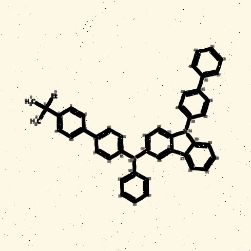 CCC(C)(C)c1ccc(-c2ccc(N(c3ccccc3)c3ccc4c(c3)c3ccccc3n4-c3ccc(-c4ccccc4)cc3)cc2)cc1